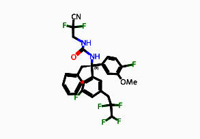 COc1cc([C@@](Cc2ccccc2)(NC(=O)NCC(F)(F)C#N)c2cc(F)cc(CC(F)(F)C(F)F)c2)ccc1F